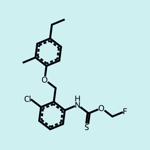 CCc1ccc(OCc2c(Cl)cccc2NC(=S)OCF)c(C)c1